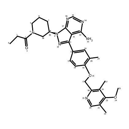 CCC(=O)N1CCC[C@@H](n2nc(-c3ccc(OCc4ncc(C)c(OC)c4C)c(C)c3)c3c(N)ncnc32)C1